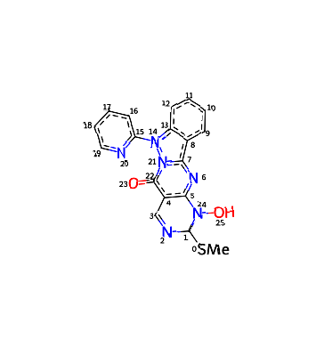 CSC1N=Cc2c(nc3c4ccccc4n(-c4ccccn4)n3c2=O)N1O